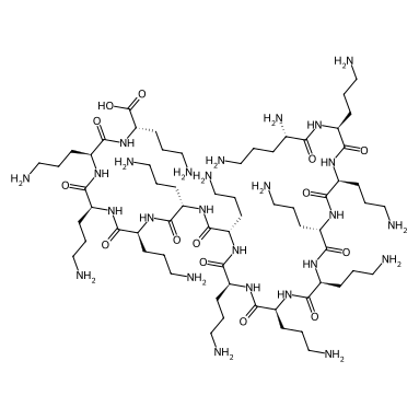 NCCC[C@H](NC(=O)[C@H](CCCN)NC(=O)[C@H](CCCN)NC(=O)[C@H](CCCN)NC(=O)[C@H](CCCN)NC(=O)[C@H](CCCN)NC(=O)[C@H](CCCN)NC(=O)[C@H](CCCN)NC(=O)[C@H](CCCN)NC(=O)[C@H](CCCN)NC(=O)[C@H](CCCN)NC(=O)[C@H](CCCN)NC(=O)[C@@H](N)CCCN)C(=O)O